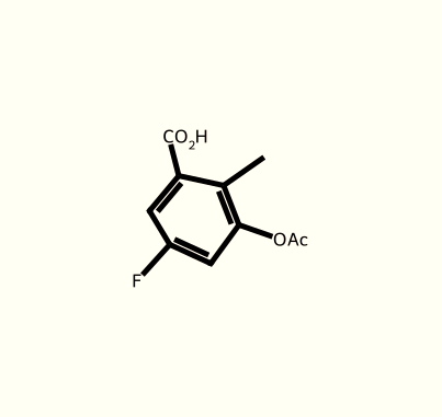 CC(=O)Oc1cc(F)cc(C(=O)O)c1C